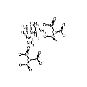 CN.CN.CN.N.N.N.O=[N+]([O-])[Co]([N+](=O)[O-])[N+](=O)[O-].O=[N+]([O-])[Co]([N+](=O)[O-])[N+](=O)[O-]